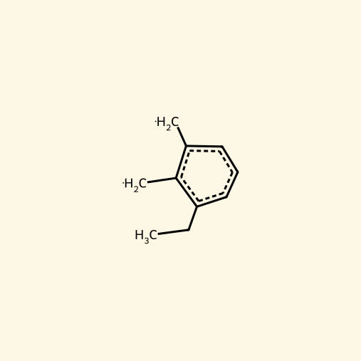 [CH2]c1cccc(CC)c1[CH2]